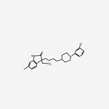 CCC1(CCCCN2CCN(c3cccc(Cl)c3)CC2)C(=O)Nc2cc(F)ccc21